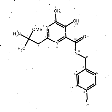 COC(C)(N)Cc1nc(O)c(O)c(C(=O)NCc2ccc(F)cc2)n1